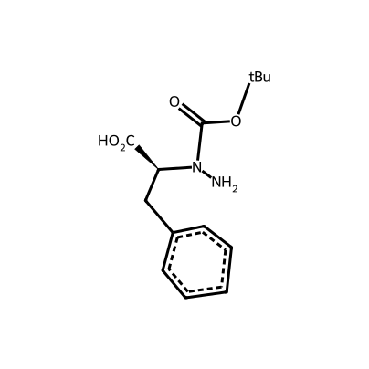 CC(C)(C)OC(=O)N(N)[C@@H](Cc1ccccc1)C(=O)O